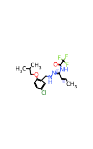 C/C=C/C(=N\NCc1cc(Cl)ccc1OCC(C)C)NC(=O)C(F)(F)F